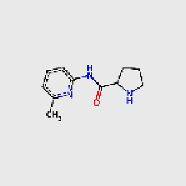 Cc1cccc(NC(=O)C2CCCN2)n1